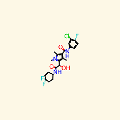 Cc1c(C(=O)Nc2ccc(F)c(Cl)c2)c(C)n(C)c1C(O)C(=O)NC1CCC(F)(F)CC1